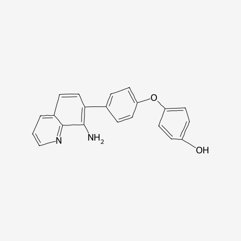 Nc1c(-c2ccc(Oc3ccc(O)cc3)cc2)ccc2cccnc12